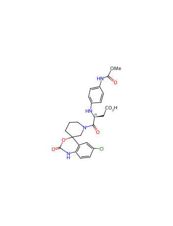 COC(=O)Nc1ccc(N[C@@H](CC(=O)O)C(=O)N2CCCC3(C2)OC(=O)Nc2ccc(Cl)cc23)cc1